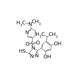 CC(C)c1cc(-c2nnc(S)n2S(=O)(=O)c2ccc(N(C)C)nc2)c(O)cc1O